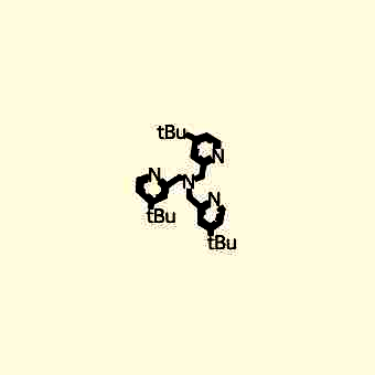 CC(C)(C)c1ccnc(CN(Cc2cc(C(C)(C)C)ccn2)Cc2cc(C(C)(C)C)ccn2)c1